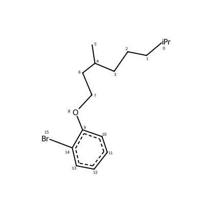 CC(C)CCCC(C)CCOc1ccccc1Br